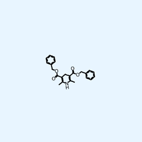 CC1=C(C(=O)OCc2ccccc2)CC(C(=O)OCc2ccccc2)=C(C)N1